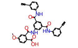 C#Cc1cccc(NC(=O)c2cc(NC(=O)c3cc(OC)ccc3C(=O)O)cc(C(=O)Nc3cccc(C#C)c3)c2)c1